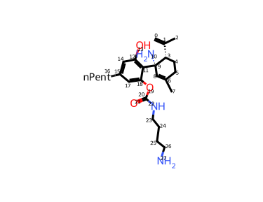 C=C(C)[C@@H]1CCC(C)=C[C@@]1(N)c1c(O)cc(CCCCC)cc1OC(=O)NCCCCN